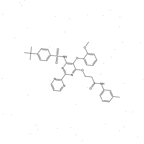 COc1ccccc1Oc1c(NS(=O)(=O)c2ccc(C(C)(C)C)cc2)nc(-c2ncccn2)nc1OCCC(=O)Nc1cccc(C)c1